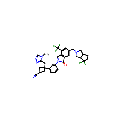 Cn1cnnc1CC1(c2cccc(N3Cc4c(cc(CN5CC6CCC(F)(F)C6C5)cc4C(F)(F)F)C3=O)c2)CC(C#N)C1